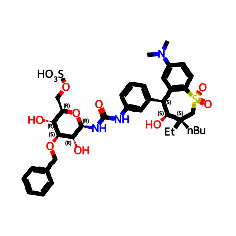 CCCC[C@]1(CC)CS(=O)(=O)c2ccc(N(C)C)cc2[C@H](c2cccc(NC(=O)N[C@@H]3O[C@H](COS(=O)(=O)O)[C@@H](O)[C@H](OCc4ccccc4)[C@H]3O)c2)[C@@H]1O